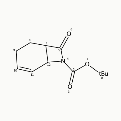 CC(C)(C)OC(=O)N1C(=O)C2CCC=CC21